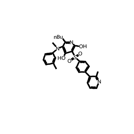 CCCCc1nc(O)c(S(=O)(=O)c2ccc(-c3cccnc3C)cc2)c(O)c1N(C)c1cccc(C)c1